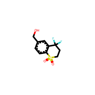 O=S1(=O)CCC(F)(F)c2cc(CO)ccc21